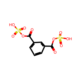 O=C(OS(=O)(=O)O)c1cccc(C(=O)OS(=O)(=O)O)c1